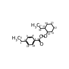 CCc1ccc(C(=O)OO[C]2CCCCC2CC)cc1